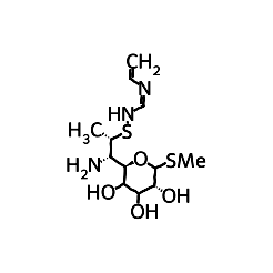 C=C/N=C\NS[C@@H](C)[C@@H](N)[C@H]1OC(SC)[C@H](O)C(O)C1O